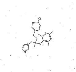 Cc1cc(C)c(SC(C)(CCc2ccc(Cl)cc2)Cn2ccnc2)c(C)c1